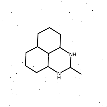 CC1NC2CCCC3CCCC(N1)C32